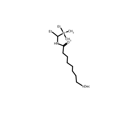 CCCCCCCCCCCCCCCCCC(=O)NC(CC)[N+](C)(C)CC